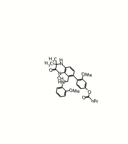 CCCC(=O)Oc1ccc(-c2ccc3c(c2CNc2ccccc2OC)N(C)C(=O)C(C)(C)N3)c(OC)c1